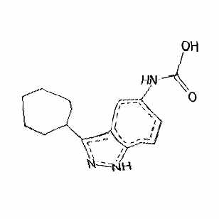 O=C(O)Nc1ccc2[nH]nc(C3CCCCC3)c2c1